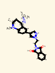 CC(=O)N1c2ccc(-c3cnn(CCN4C(=O)c5ccccc5C4=O)c3)cc2[C@@H](NC(=O)O)C[C@H]1C